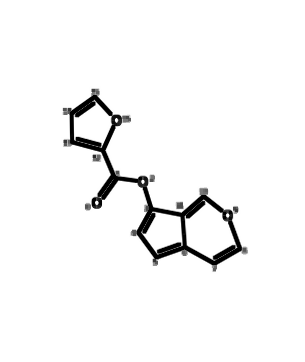 O=C(Oc1ccc2ccocc1-2)c1ccco1